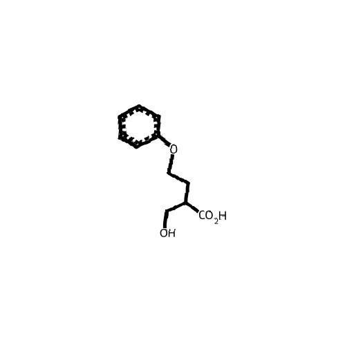 O=C(O)C(CO)CCOc1ccccc1